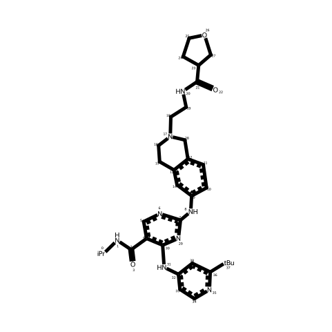 CC(C)NC(=O)c1cnc(Nc2ccc3c(c2)CCN(CCNC(=O)C2CCOC2)C3)nc1Nc1ccnc(C(C)(C)C)c1